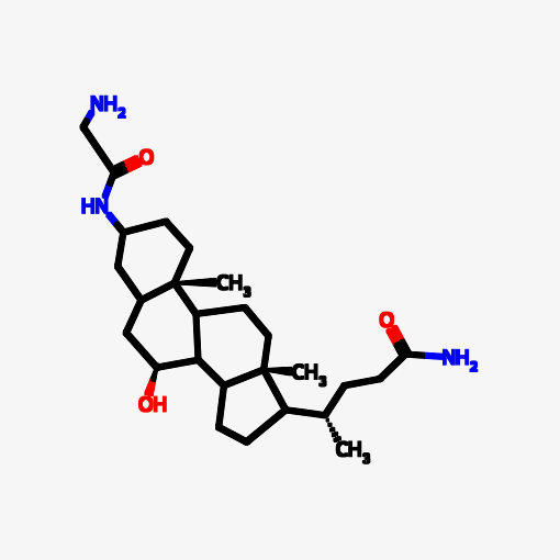 C[C@@H](CCC(N)=O)C1CCC2C3C(CC[C@@]21C)[C@@]1(C)CCC(NC(=O)CN)CC1C[C@@H]3O